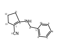 N#CC1=C(NCc2ccccc2)CCC1